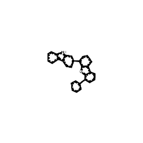 c1ccc(-c2cccc3c2oc2c(-c4ccc5c(c4)[nH]c4ccccc45)cccc23)cc1